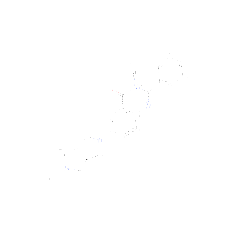 CN1CC2CN(c3ccc4nc(-c5ccccc5)n(C)c(=O)c4c3)CC2C1